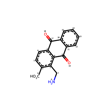 NCc1c(C(=O)O)ccc2c1C(=O)c1ccccc1C2=O